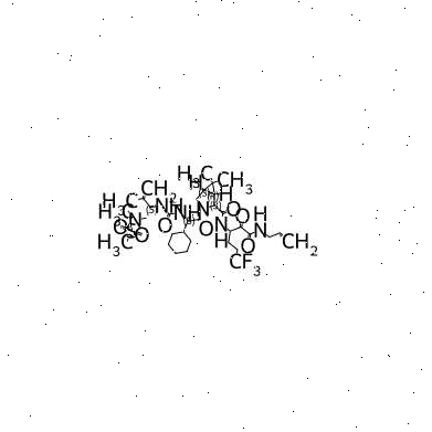 C=CCNC(=O)C(=O)C(CCC(F)(F)F)NC(=O)[C@@H]1[C@@H]2[C@H](CN1C(=O)[C@@H](NC(=O)N[C@H](CN(C)S(C)(=O)=O)C(=C)C)C1CCCCC1)C2(C)C